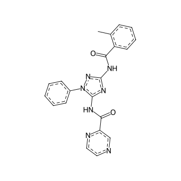 Cc1ccccc1C(=O)Nc1nc(NC(=O)c2cnccn2)n(-c2ccccc2)n1